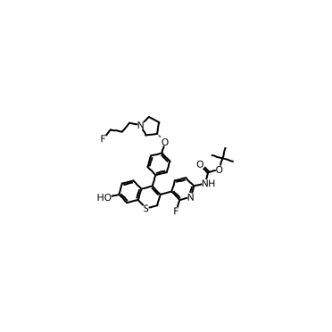 CC(C)(C)OC(=O)Nc1ccc(C2=C(c3ccc(O[C@H]4CCN(CCCF)C4)cc3)c3ccc(O)cc3SC2)c(F)n1